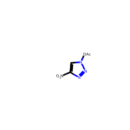 CC(=O)On1cc([N+](=O)[O-])nn1